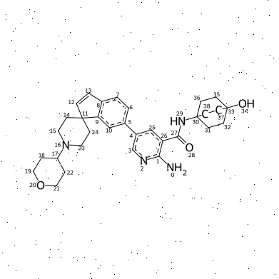 Nc1ncc(-c2ccc3c(c2)C2(C=C3)CCN(C3CCOCC3)CC2)cc1C(=O)NC12CCC(O)(CC1)CC2